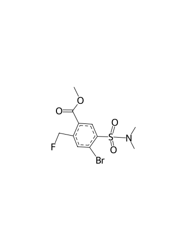 COC(=O)c1cc(S(=O)(=O)N(C)C)c(Br)cc1CF